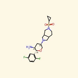 N[C@H]1C[C@@H](N2CC3CCN(S(=O)(=O)C4CC4)CC3C2)CO[C@@H]1c1cc(F)ccc1F